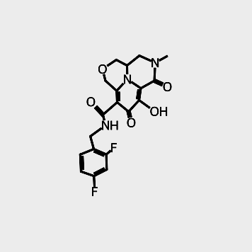 CN1CC2COCc3c(C(=O)NCc4ccc(F)cc4F)c(=O)c(O)c(n32)C1=O